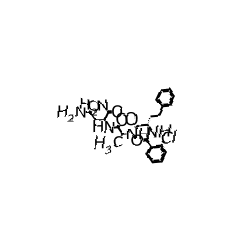 C[C@H](NC(=O)[C@H](CCc1ccccc1)NC(=O)c1ccccc1Cl)C(=O)N[C@@H](CC(N)=O)C(N)=O